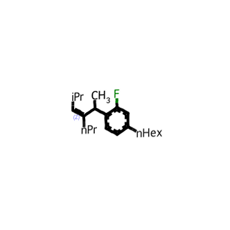 CCCCCCc1ccc(C(C)/C(=C\C(C)C)CCC)c(F)c1